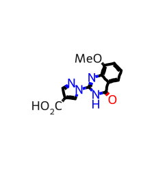 COc1cccc2c(=O)[nH]c(-n3cc(C(=O)O)cn3)nc12